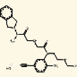 CCNCCN(C(=O)CNCC(=O)N(C)N1Cc2ccccc2C1)c1cc(C#N)ccc1C.Cl.Cl